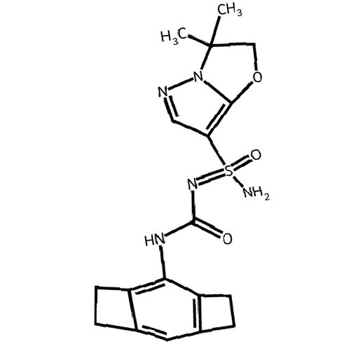 CC1(C)COc2c(S(N)(=O)=NC(=O)Nc3c4c(cc5c3CC5)CC4)cnn21